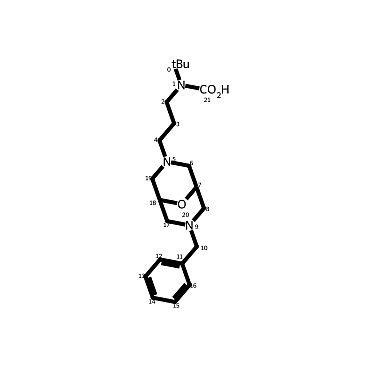 CC(C)(C)N(CCCN1CC2CN(Cc3ccccc3)CC(C1)O2)C(=O)O